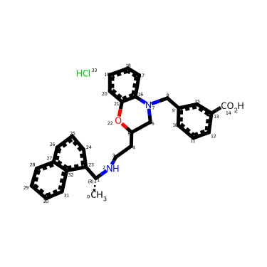 C[C@@H](NCCC1CN(Cc2cccc(C(=O)O)c2)c2ccccc2O1)c1cccc2ccccc12.Cl